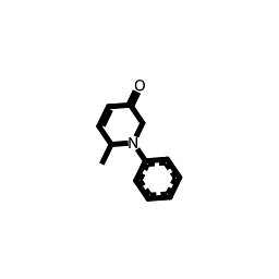 CC1C=CC(=O)CN1c1ccccc1